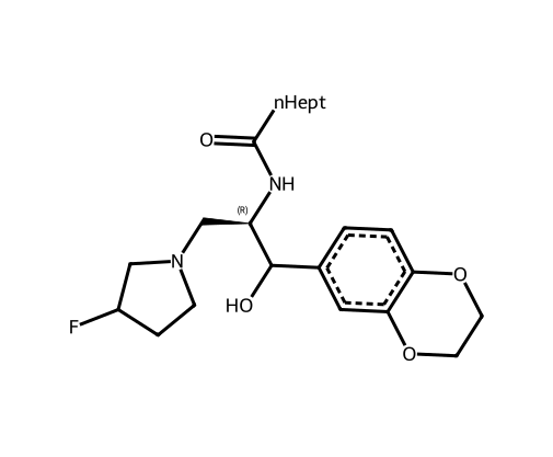 CCCCCCCC(=O)N[C@H](CN1CCC(F)C1)C(O)c1ccc2c(c1)OCCO2